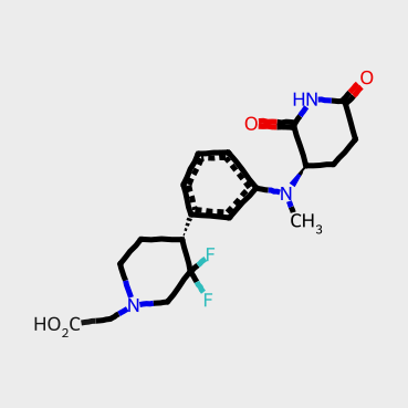 CN(c1cccc([C@H]2CCN(CC(=O)O)CC2(F)F)c1)[C@@H]1CCC(=O)NC1=O